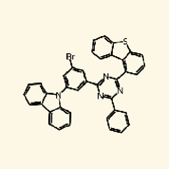 Brc1cc(-c2nc(-c3ccccc3)nc(-c3cccc4sc5ccccc5c34)n2)cc(-n2c3ccccc3c3ccccc32)c1